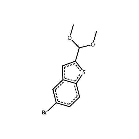 COC(OC)c1cc2cc(Br)ccc2s1